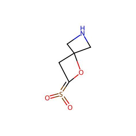 O=S(=O)=C1CC2(CNC2)O1